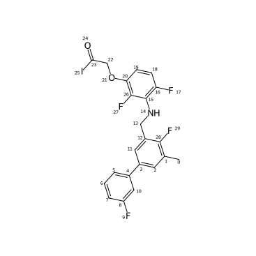 Cc1cc(-c2cccc(F)c2)cc(CNc2c(F)ccc(OCC(=O)I)c2F)c1F